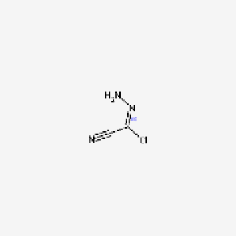 N#C/C(Cl)=N\N